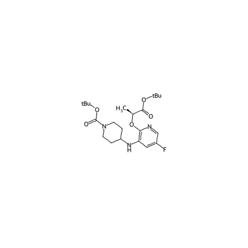 C[C@H](Oc1ncc(F)cc1NC1CCN(C(=O)OC(C)(C)C)CC1)C(=O)OC(C)(C)C